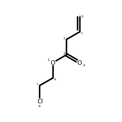 [CH]=CCC(=O)OCCCl